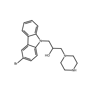 OC(CN1CCNCC1)Cn1c2ccccc2c2cc(Br)ccc21